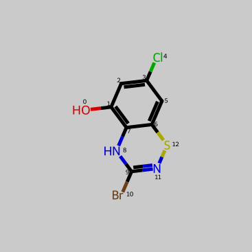 Oc1cc(Cl)cc2c1NC(Br)=NS2